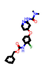 CN(C)C(=O)Nc1cc(Oc2ccc(NC(=O)OCc3ccccc3)c(F)c2)ccn1